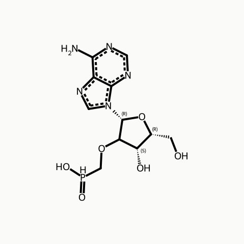 Nc1ncnc2c1ncn2[C@@H]1O[C@H](CO)[C@H](O)C1OC[PH](=O)O